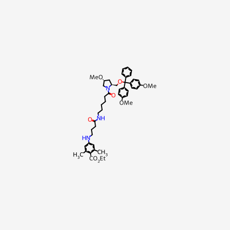 CCOC(=O)c1c(C)cc(NCCCC(=O)NCCCCCC(=O)N2C[C@H](OC)C[C@H]2COC(c2ccccc2)(c2ccc(OC)cc2)c2ccc(OC)cc2)cc1C